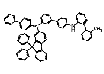 CC1C=CC=CC1c1ccccc1Nc1ccc(-c2cccc(N(c3ccc(-c4ccccc4)cc3)c3ccc4c(c3)C(c3ccccc3)(c3ccccc3)C3=C4C=CCC3)c2)cc1